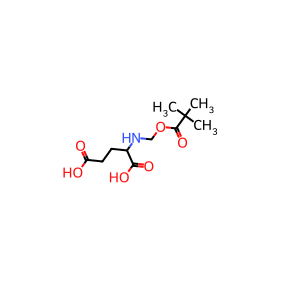 CC(C)(C)C(=O)OCNC(CCC(=O)O)C(=O)O